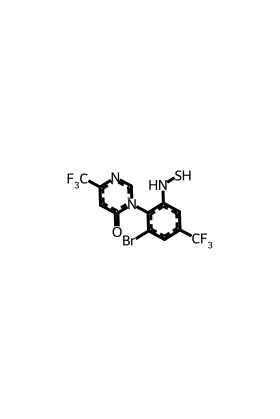 O=c1cc(C(F)(F)F)ncn1-c1c(Br)cc(C(F)(F)F)cc1NS